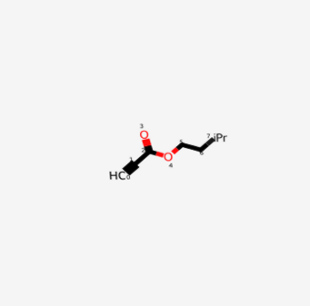 C#CC(=O)OCCC(C)C